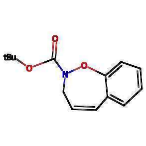 CC(C)(C)OC(=O)N1CC=Cc2ccccc2O1